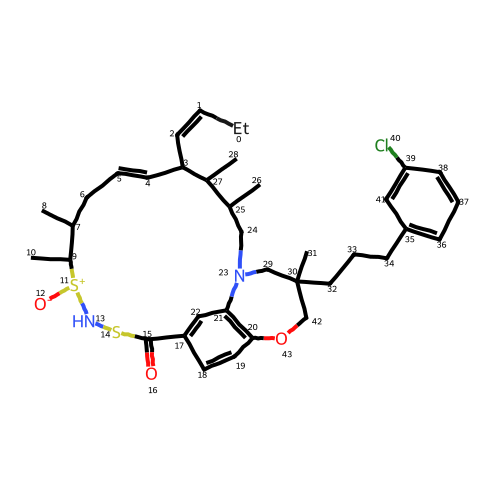 CC/C=C\C1/C=C/CC(C)C(C)[S+]([O-])NSC(=O)c2ccc3c(c2)N(CC(C)C1C)CC(C)(CCCc1cccc(Cl)c1)CO3